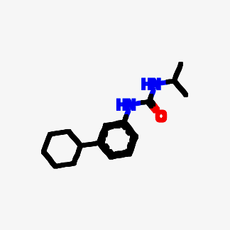 CC(C)NC(=O)Nc1cccc(C2CCCCC2)c1